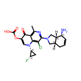 Cc1nc(N2C[C@H]3CC=C[C@H](N)[C@H]3C2)c(Cl)c2c1c(=O)c(OC(=O)O)cn2[C@@H]1C[C@@H]1F